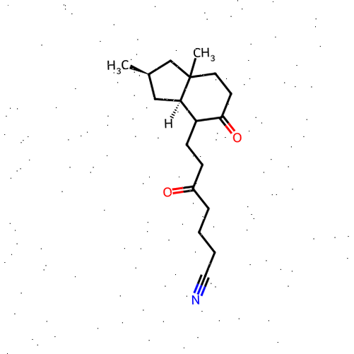 C[C@@H]1C[C@@H]2C(CCC(=O)CCCC#N)C(=O)CCC2(C)C1